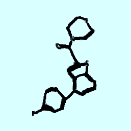 O=C(c1cc2c(-c3ccc(F)cc3)cccc2s1)N1CCSCC1